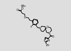 CC(C)c1nc(C(=O)N2CCOC3(CCN(Cc4cccc(CCOCCC(=O)OC(C)(C)C)c4F)CC3)C2)cs1